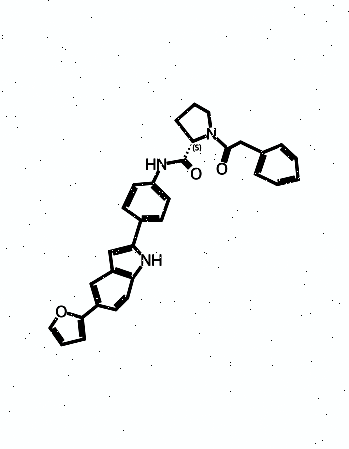 O=C(Nc1ccc(-c2cc3cc(-c4ccco4)ccc3[nH]2)cc1)[C@@H]1CCCN1C(=O)Cc1ccccc1